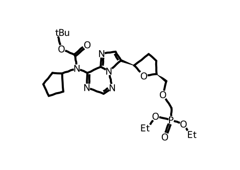 CCOP(=O)(COC[C@@H]1CC[C@H](c2cnc3c(N(C(=O)OC(C)(C)C)C4CCCC4)ncnn23)O1)OCC